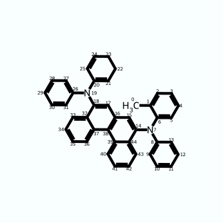 Cc1ccccc1N(c1ccccc1)c1cc2cc(N(C3=CCCC=C3)c3ccccc3)c3ccccc3c2c2ccccc12